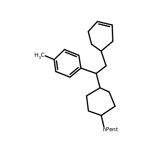 CCCCCC1CCC(C(CC2CC=CCC2)c2ccc(C)cc2)CC1